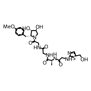 COc1ccc(C[C@@H]2[C@H](O)[C@@H](O)CN2C(=O)CNC(=O)CNC(=O)[C@H](C)NC(=O)CNc2ncc(CO)s2)cc1